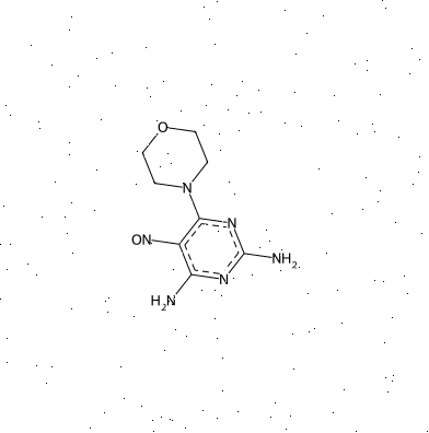 Nc1nc(N)c(N=O)c(N2CCOCC2)n1